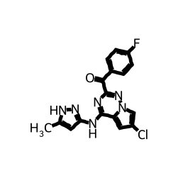 Cc1cc(Nc2nc(C(=O)c3ccc(F)cc3)nn3cc(Cl)cc23)n[nH]1